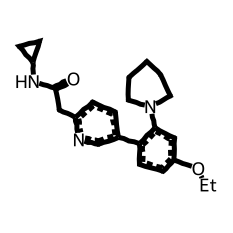 CCOc1ccc(-c2ccc(CC(=O)NC3CC3)nc2)c(N2CCCCC2)c1